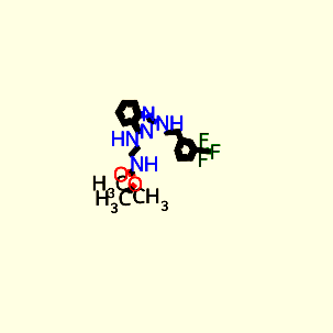 CC(C)(C)OC(=O)NCCNc1nc(NCCc2cccc(C(F)(F)F)c2)nc2ccccc12